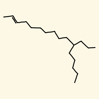 CC=CCCCCCCCC(CCC)CCCCC